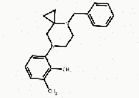 Cc1cccc(N2CCN(Cc3ccccc3)C3(CC3)C2)c1C